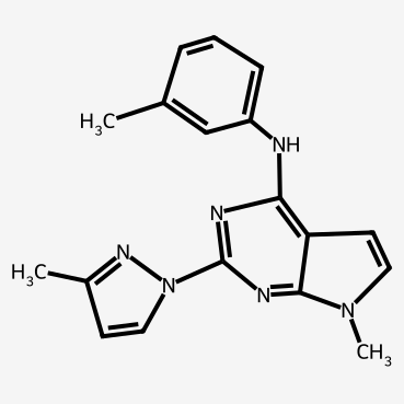 Cc1cccc(Nc2nc(-n3ccc(C)n3)nc3c2ccn3C)c1